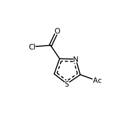 CC(=O)c1nc(C(=O)Cl)cs1